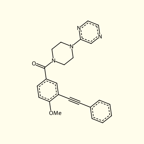 COc1ccc(C(=O)N2CCN(c3cnccn3)CC2)cc1C#Cc1ccccc1